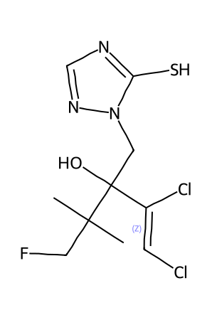 CC(C)(CF)C(O)(Cn1ncnc1S)/C(Cl)=C/Cl